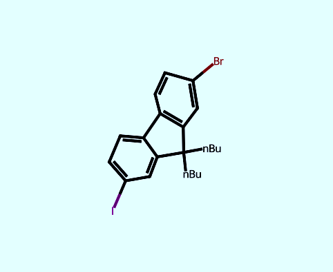 CCCCC1(CCCC)c2cc(Br)ccc2-c2ccc(I)cc21